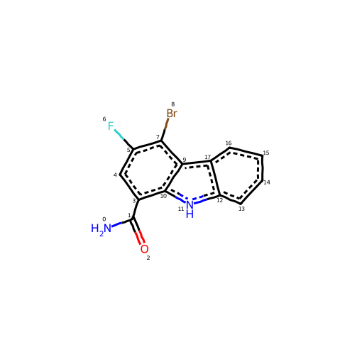 NC(=O)c1cc(F)c(Br)c2c1[nH]c1ccccc12